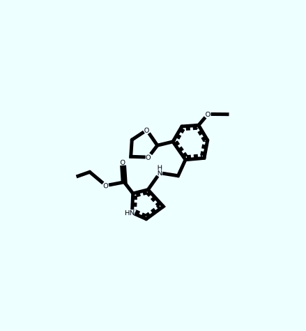 CCOC(=O)c1[nH]ccc1NCc1ccc(OC)cc1C1OCCO1